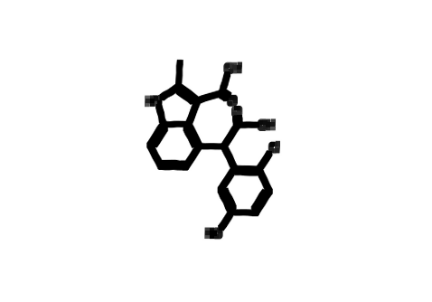 Cc1[nH]c2cccc(C(C(=O)O)c3cc(O)ccc3Cl)c2c1C(=O)O